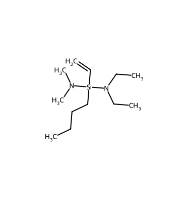 C=C[Si](CCCC)(N(C)C)N(CC)CC